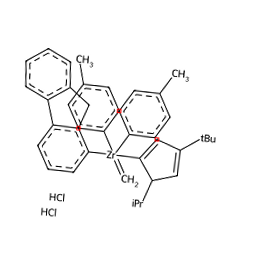 Cl.Cl.[CH2]=[Zr]([C]1=CC(C(C)(C)C)=CC1C(C)C)([c]1ccc(C)cc1)([c]1ccc(C)cc1)[c]1cccc2c1Cc1ccccc1-2